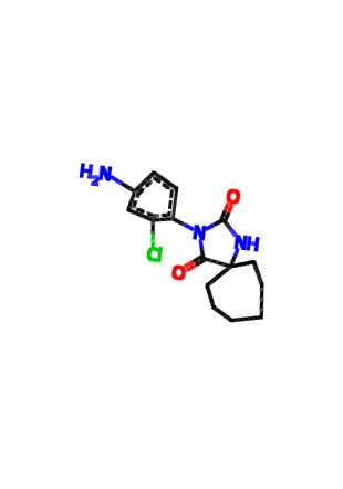 Nc1ccc(N2C(=O)NC3(CCCCCC3)C2=O)c(Cl)c1